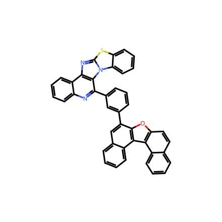 c1cc(-c2cc3ccccc3c3c2oc2ccc4ccccc4c23)cc(-c2nc3ccccc3c3nc4sc5ccccc5n4c23)c1